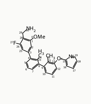 COc1cc(-c2cccc(-c3cccc(Oc4ccccn4)c3C)c2C)cc(F)c1CN